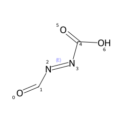 O=C/N=N/C(=O)O